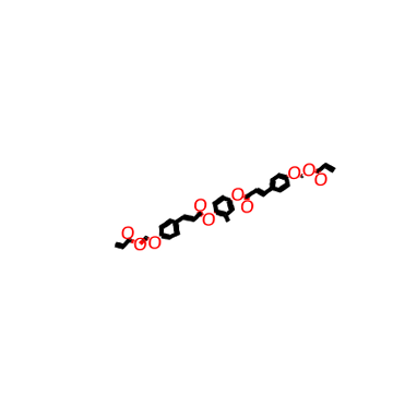 C=CC(=O)OCOc1ccc(/C=C/C(=O)Oc2ccc(OC(=O)/C=C/c3ccc(OCOC(=O)C=C)cc3)c(C)c2)cc1